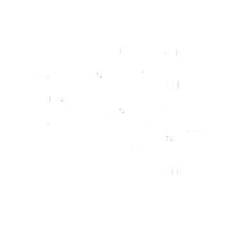 CN(C)S(=O)(=O)n1c(C(C)(C)C)nc([SiH](C)C)c1CCCCl